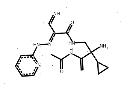 C=C(NC(C)=O)C(N)(CNC(=O)/C(C=N)=N/Nc1ccccn1)C1CC1